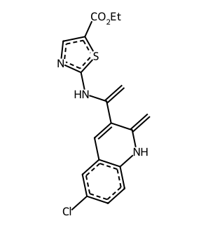 C=C(Nc1ncc(C(=O)OCC)s1)C1=Cc2cc(Cl)ccc2NC1=C